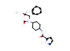 CC1(C)OC(=O)N(C2CCC(NC(=O)c3ccc[nH]3)CC2)[C@H]1c1ccccc1